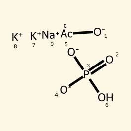 CC(=O)[O-].O=P([O-])([O-])O.[K+].[K+].[Na+]